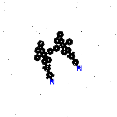 Cc1cc(-c2cc(C)c(-c3ccc4c5c(-c6ccccc6)c6c(cc7c8ccccc8c8cccc6c87)c(-c6ccc(-c7ccc(-c8c9c(cc%10c%11ccccc%11c%11cccc9c%11%10)c(-c9ccccc9)c9c%10ccc(-c%11c(C)cc(-c%12ccc(C#N)cc%12)cc%11C)c%11cccc(c89)c%11%10)cc7)cc6)c5c5cccc3c54)c(C)c2)cc(C)c1C#N